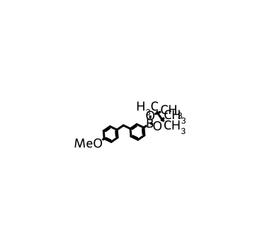 COc1ccc(Cc2cccc(B3OC(C)(C)C(C)(C)O3)c2)cc1